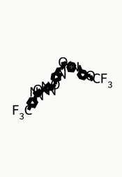 Cn1c(C(=O)N2CCN(Cc3cccc(OCC(F)(F)F)c3)CC2)cc2ccc(Oc3cnc(-c4nc(-c5ccc(C(F)(F)F)cc5)no4)cn3)cc21